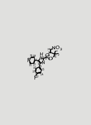 CC1(C)COC(c2nc(-c3ccc(F)cc3)c(-c3ccncc3)[nH]2)OC1C[N+](=O)[O-]